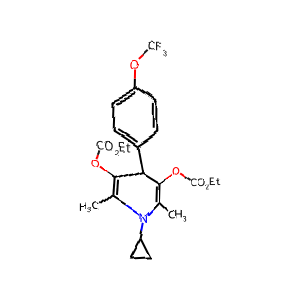 CCOC(=O)OC1=C(C)N(C2CC2)C(C)=C(OC(=O)OCC)C1c1ccc(OC(F)(F)F)cc1